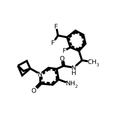 CC(NC(=O)c1cn(C23CC(C2)C3)c(=O)cc1N)c1cccc(C(F)F)c1F